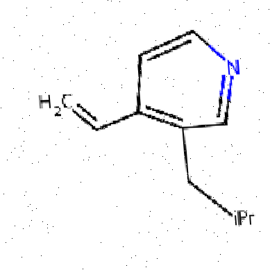 C=Cc1ccncc1CC(C)C